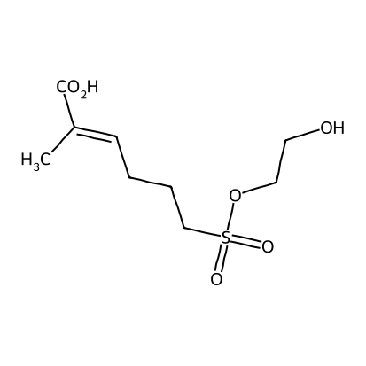 CC(=CCCCS(=O)(=O)OCCO)C(=O)O